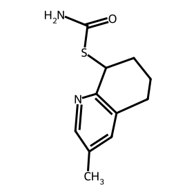 Cc1cnc2c(c1)CCCC2SC(N)=O